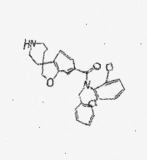 O=C(c1ccc2c(c1)OCC21CCNCC1)N(Cc1ccccc1)c1c(Cl)cccc1Cl